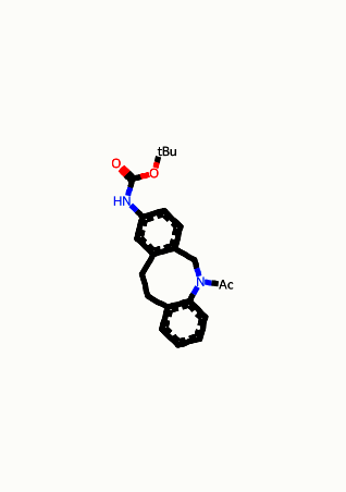 CC(=O)N1Cc2ccc(NC(=O)OC(C)(C)C)cc2CCc2ccccc21